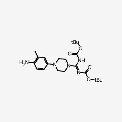 Cc1cc(N2CCN(/C(=N/C(=O)OC(C)(C)C)NC(=O)OC(C)(C)C)CC2)ccc1N